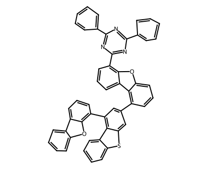 c1ccc(-c2nc(-c3ccccc3)nc(-c3cccc4c3oc3cccc(-c5cc(-c6cccc7c6oc6ccccc67)c6c(c5)sc5ccccc56)c34)n2)cc1